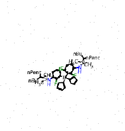 CCCCCC(CCCC)[Si](C)(C)Nc1ccc(F)[c]([Ti]([C]2=CC=CC2)([C]2=CC=CC2)[c]2c(F)ccc(N[Si](C)(C)C(CCCC)CCCCC)c2F)c1F